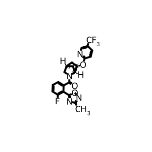 Cc1noc(-c2c(F)cccc2C(=O)N2C[C@H]3C[C@@H](Oc4ccc(C(F)(F)F)cn4)[C@@H]2C3)n1